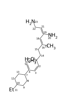 C=C(/C=C\C(=C/C)C1CCC(CC)CC1)CC/C(C)=C/C(N)=C\CN